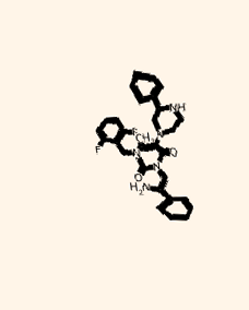 Cc1c(N2CCNC(c3ccccc3)C2)c(=O)n(CC(N)c2ccccc2)c(=O)n1Cc1c(F)cccc1F